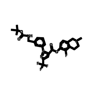 CN1CCc2c(ccc(OC(=O)c3cc(C(F)(F)F)nn3-c3cccc(CNC(=O)OC(C)(C)C)c3)c2F)C1